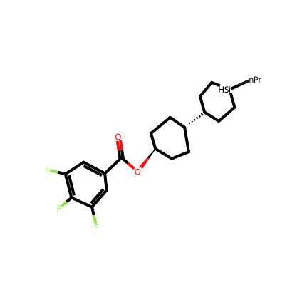 CCC[SiH]1CCC([C@H]2CC[C@H](OC(=O)c3cc(F)c(F)c(F)c3)CC2)CC1